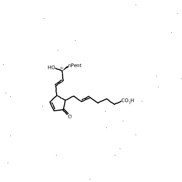 CCCCC[C@H](O)C=CC1C=CC(=O)C1CC=CCCCC(=O)O